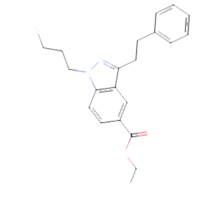 CCOC(=O)c1ccc2c(c1)c(CCc1ccccc1)nn2CCCN.Cl